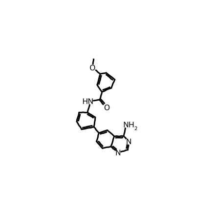 COc1cccc(C(=O)Nc2cccc(-c3ccc4ncnc(N)c4c3)c2)c1